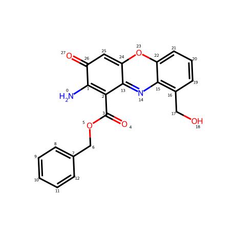 Nc1c(C(=O)OCc2ccccc2)c2nc3c(CO)cccc3oc-2cc1=O